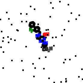 O=C(O)c1cnn(-c2nc(O)c3c(cnn3Cc3ccc(-c4ccccc4F)c(F)c3)n2)c1